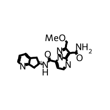 COCc1nn2c(C(=O)N[C@@H]3Cc4cccnc4C3)ccnc2c1C(N)=O